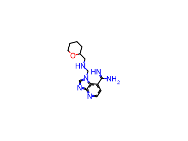 N=C(N)c1ccnc2ncn(CNCC3CCCCO3)c12